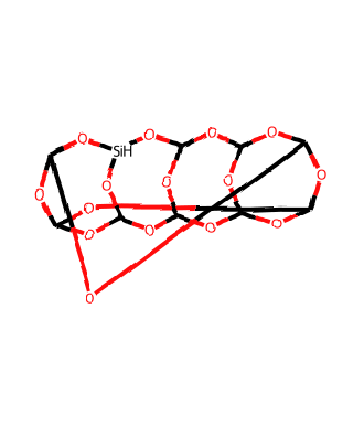 O1C2OC3OC4OC1OC1OC(O4)O[SiH]4OC(O3)OC(O2)OC(O1)O4